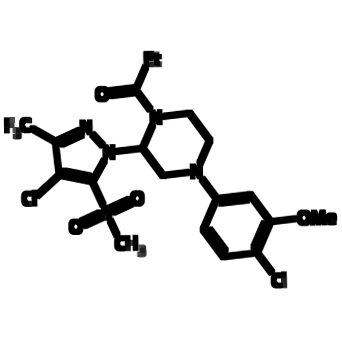 CCC(=O)N1CCN(c2ccc(Cl)c(OC)c2)CC1n1nc(C(F)(F)F)c(Cl)c1S(C)(=O)=O